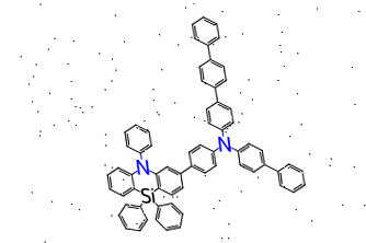 c1ccc(-c2ccc(-c3ccc(N(c4ccc(-c5ccccc5)cc4)c4ccc(-c5ccc6c(c5)N(c5ccccc5)c5ccccc5[Si]6(c5ccccc5)c5ccccc5)cc4)cc3)cc2)cc1